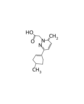 C=C1C=CC(C2=CCC(C)CC2)=NN1CC(=O)O